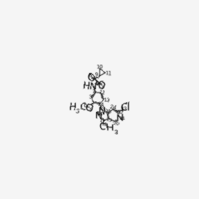 COc1cc(NS(=O)(=O)C2CC2)ccc1-n1nc(C)c2cnc(Cl)cc21